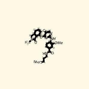 COCCCNC(=O)c1ccc(Nc2ncc(C(F)(F)F)c(Oc3cccc4c3C(=O)N(C)C4)n2)c(OC)c1